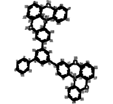 c1ccc(-c2cc(-c3ccc4c(c3)Oc3cccc5c3N4c3ccccc3O5)cc(-c3ccc4c(c3)Oc3cccc5c3N4c3ccccc3O5)c2)cc1